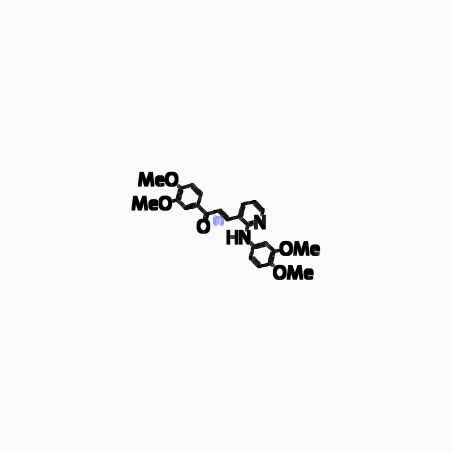 COc1ccc(Nc2ncccc2/C=C/C(=O)c2ccc(OC)c(OC)c2)cc1OC